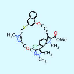 COC(=O)c1c2c3ccc(Cl)c(c3n1C)-c1c(nn(C)c1C)COCc1cc(n(C)n1)CSc1cc(c3ccccc3c1)OCCC2